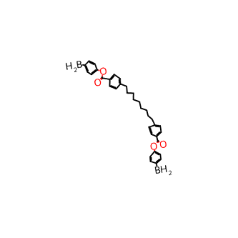 Bc1ccc(OC(=O)c2ccc(CCCCCCCCCc3ccc(C(=O)Oc4ccc(B)cc4)cc3)cc2)cc1